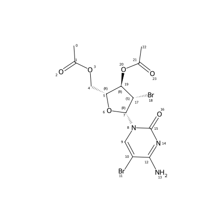 CC(=O)OC[C@H]1O[C@@H](n2cc(Br)c(N)nc2=O)[C@@H](Br)[C@@H]1OC(C)=O